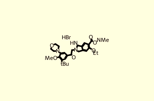 Br.CCOc1cc2c(cc1C(=O)ONC)C(=N)N(CC(=O)c1cc(N3CCOCC3)c(OC)c(C(C)(C)C)c1)C2